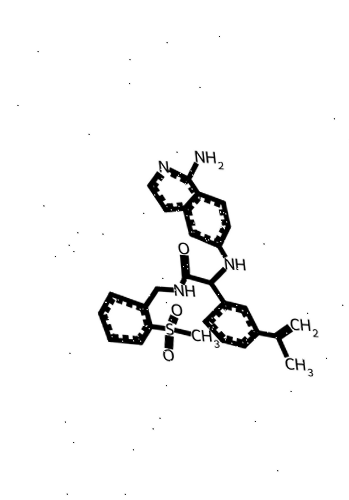 C=C(C)c1cccc(C(Nc2ccc3c(N)nccc3c2)C(=O)NCc2ccccc2S(C)(=O)=O)c1